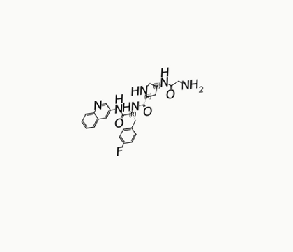 NCC(=O)N[C@H]1CN[C@@H](C(=O)N[C@H](Cc2ccc(F)cc2)C(=O)Nc2cnc3ccccc3c2)C1